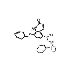 O=c1ccc2c([C@@H](O)CN[C@H]3CCC[C@H]3C3CCCCC3)ccc(OCc3ccccc3)c2[nH]1